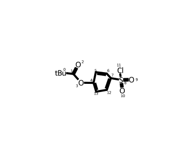 CC(C)(C)C(=O)Oc1ccc(S(=O)(=O)Cl)cc1